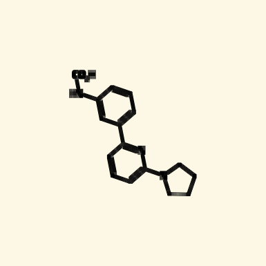 O=C(O)Nc1cccc(-c2cccc(N3CCCC3)n2)c1